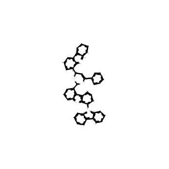 C1=C(c2ccccc2)NC(c2cccc3oc4c(-n5c6ccccc6c6ccccc65)cccc4c23)NC1c1cccc2c1oc1ccccc12